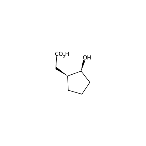 O=C(O)C[C@@H]1CCC[C@@H]1O